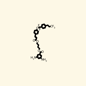 Nc1cc(N)cc(C(=O)OCCCCOC(=O)C=Cc2ccc(OC(F)(F)c3ccc(CCC(F)(F)F)cc3)cc2)c1